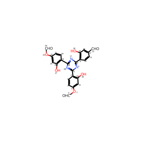 O=COc1ccc(-c2nc(-c3ccc(C=O)cc3O)nc(-c3ccc(OC=O)cc3O)n2)c(O)c1